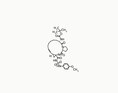 COc1ccc(NS(=O)(=O)NC(=O)[C@@]23C[C@H]2/C=C\CCCCC[C@H](NC(=O)OC(C)(C)C)C(=O)N2CCCC2C(=O)N3)cc1